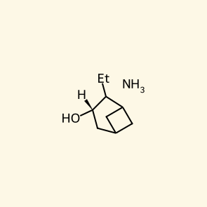 CCC1C2CC(C2)C[C@@H]1O.N